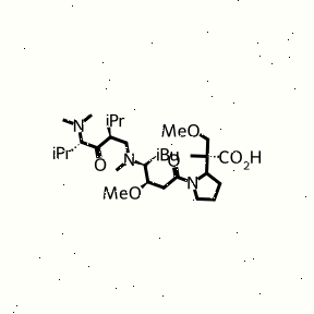 CC[C@H](C)[C@@H]([C@@H](CC(=O)N1CCCC1[C@@](C)(COC)C(=O)O)OC)N(C)C[C@@H](C(=O)[C@H](C(C)C)N(C)C)C(C)C